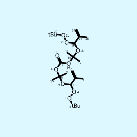 C=C(C)C(OOC(C)(C)C)OC(C)(C)OC(=O)OC(C)(C)OC(OOC(C)(C)C)C(=C)C